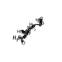 CC1(C)CCC(CN2CCN(c3ccc(C(=O)NS(=O)(=O)c4ccc(NCC5CCN(CCCC#Cc6cccc7c6CN(C6CCC(=O)NC6=O)C7=O)CC5)c([N+](=O)[O-])c4)c(Oc4cnc5[nH]ccc5c4)c3)CC2)=C(c2ccc(Cl)cc2)C1